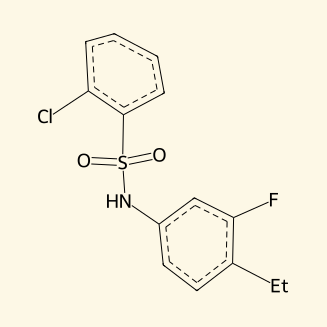 CCc1ccc(NS(=O)(=O)c2ccccc2Cl)cc1F